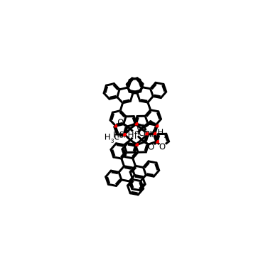 C[SiH]1[C]2(C(c3ccco3)=Cc3c(-c4cc5ccccc5c5ccccc45)cccc32)[Hf]2([Cl])([Cl])([C]13C(c1ccco1)=Cc1c(-c4cc5ccccc5c5ccccc45)cccc13)[C]1(C(c3ccco3)=Cc3c(-c4cc5ccccc5c5ccccc45)cccc31)[SiH](C)[C]21C(c2ccco2)=Cc2c(-c3cc4ccccc4c4ccccc34)cccc21